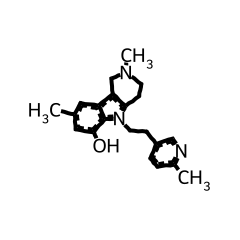 Cc1cc(O)c2c(c1)c1c(n2CCc2ccc(C)nc2)CCN(C)C1